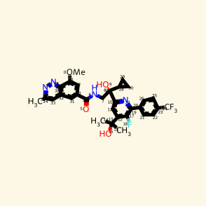 COc1cc(C(=O)NC[C@](O)(c2cc(C(C)(C)O)c(F)c(-c3ccc(C(F)(F)F)cc3)n2)C2CC2)cc2cc(C)nnc12